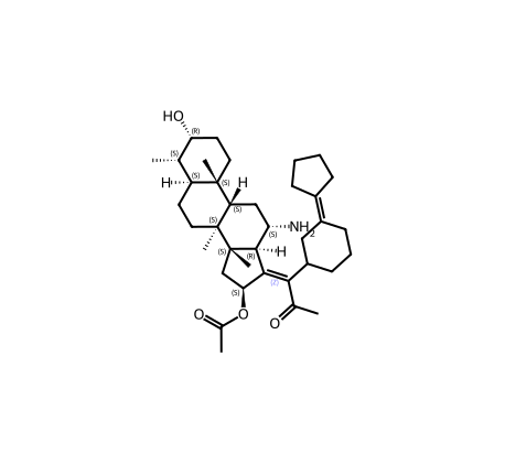 CC(=O)O[C@H]1C[C@@]2(C)[C@H](/C1=C(/C(C)=O)C1CCCC(=C3CCCC3)C1)[C@@H](N)C[C@H]1[C@@]3(C)CC[C@@H](O)[C@@H](C)[C@@H]3CC[C@@]12C